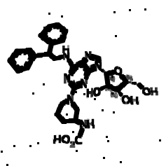 O=C(O)NC1CCCN(c2nc(NCC(c3ccccc3)c3ccccc3)c3ncn([C@@H]4O[C@H](CO)[C@@H](O)[C@H]4O)c3n2)C1